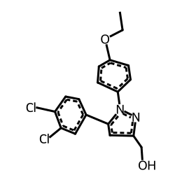 CCOc1ccc(-n2nc(CO)cc2-c2ccc(Cl)c(Cl)c2)cc1